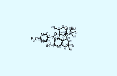 CC(C)c1nc2c(c3c1[C@@H](c1cnc(C(F)(F)F)nc1)OC31CCOCC1I)[C@@H](O[Si](C)(C)C(C)(C)C)CC(C)(C)C2